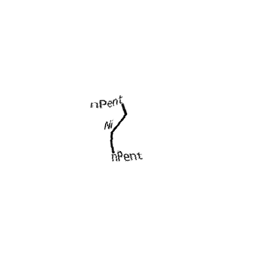 [CH2]CCCCCCCCCCC.[Ni]